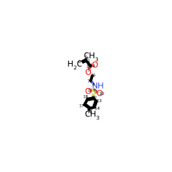 C=C(C)C(=O)OCCNS(=O)(=O)c1ccc(C)cc1